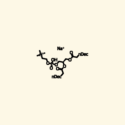 CCCCCCCCCCCC(=O)OC[C@H](COP(=O)(O)OCC[N+](C)(C)C)OC(=O)CCCCCCCCCCC.[Na+]